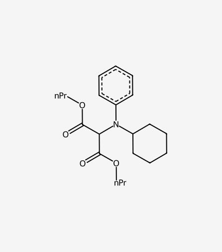 CCCOC(=O)C(C(=O)OCCC)N(c1ccccc1)C1CCCCC1